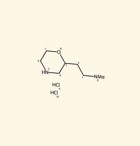 CNCCC1CNCCO1.Cl.Cl